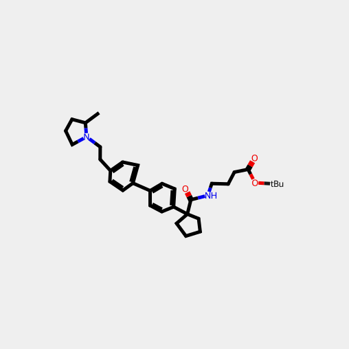 CC1CCCN1CCc1ccc(-c2ccc(C3(C(=O)NCCCC(=O)OC(C)(C)C)CCCC3)cc2)cc1